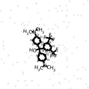 CN(C)c1ccc(C(O)(c2ccc(N(C)C)cc2)c2cc(C(F)(F)F)cc(C(F)(F)F)c2)cc1